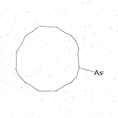 [As]C1CCCCCCCCCCC1